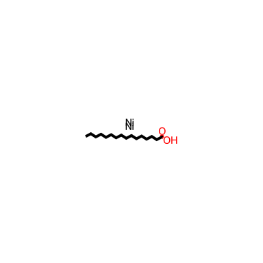 CCCCCCCCCCCCCCCC(=O)O.[Ni].[Ni]